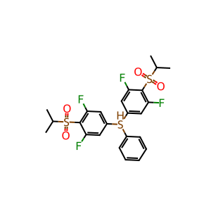 CC(C)S(=O)(=O)c1c(F)cc([SH](c2ccccc2)c2cc(F)c(S(=O)(=O)C(C)C)c(F)c2)cc1F